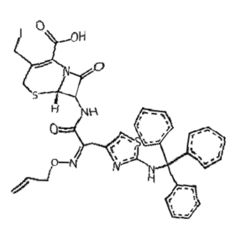 C=CCO/N=C(\C(=O)NC1C(=O)N2C(C(=O)O)=C(CI)CS[C@@H]12)c1csc(NC(c2ccccc2)(c2ccccc2)c2ccccc2)n1